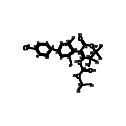 Cc1cc(-c2ccc(Cl)cc2)cc(C)c1C1=C(OC(=O)OC(C)C)C(C)(C)C(C)(C)OC1=O